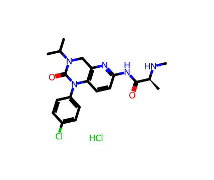 CN[C@@H](C)C(=O)Nc1ccc2c(n1)CN(C(C)C)C(=O)N2c1ccc(Cl)cc1.Cl